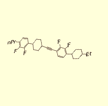 CCCc1ccc(C2CCC(C#Cc3ccc(C4CCC(CC)CC4)c(F)c3F)CC2)c(F)c1F